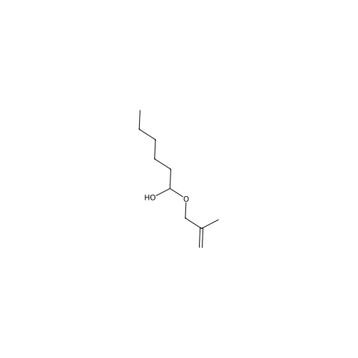 C=C(C)COC(O)CCCCC